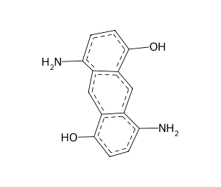 Nc1ccc(O)c2cc3c(N)ccc(O)c3cc12